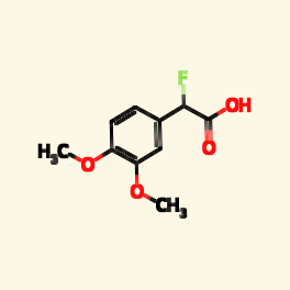 COc1ccc(C(F)C(=O)O)cc1OC